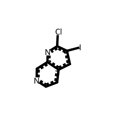 Clc1nc2cnccc2cc1I